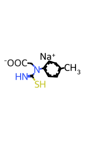 Cc1ccc(N(CC(=O)[O-])C(=N)S)cc1.[Na+]